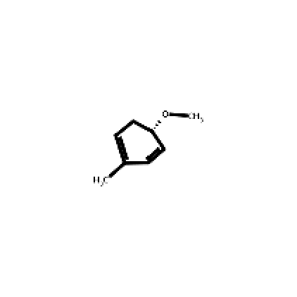 CO[C@@H]1C=CC(C)=CC1